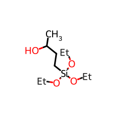 CCO[Si](CCC(C)O)(OCC)OCC